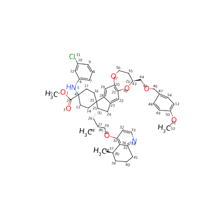 COC(=O)C1(Nc2cccc(Cl)c2)CCC2(CC1)c1cc3c(cc1C[C@@H]2C[C@@H](C)COc1ccnc2c1[C@H](C)CCC2)O[C@H](COCc1ccc(OC)cc1)CCO3